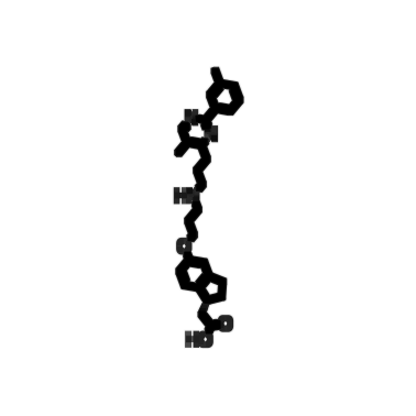 Cc1cccc(-c2ncc(C)c(CCCNCCCOc3ccc4c(c3)CC[C@H]4CC(=O)O)n2)c1